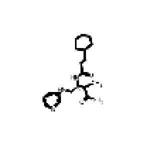 CC(C(N)=O)[C@@H](CNc1cccnc1)NC(=O)[CH]CC1CCCCC1